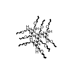 C=CC=COCCCN(c1nc(NCCOC=CC=C)nc(NCCOC=CC=C)n1)c1nc(N(CCCOC=CC=C)c2nc(NCCOC=CC=C)nc(NCCOC=CC=C)n2)nc(N(CCCOC=CC=C)c2nc(NCCOC=CC=C)nc(NCCOC=CC=C)n2)n1